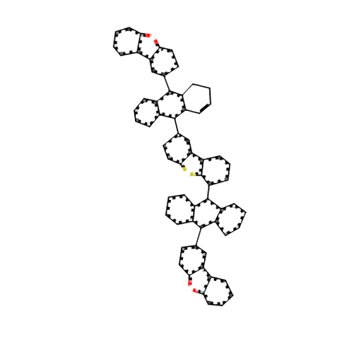 C1=Cc2c(c(-c3ccc4oc5ccccc5c4c3)c3ccccc3c2-c2ccc3sc4c(-c5c6ccccc6c(-c6ccc7oc8ccccc8c7c6)c6ccccc56)cccc4c3c2)CC1